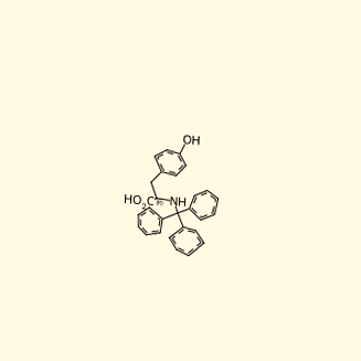 O=C(O)[C@@H](Cc1ccc(O)cc1)NC(c1ccccc1)(c1ccccc1)c1ccccc1